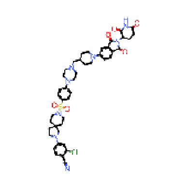 N#Cc1ccc(N2CCC3(CCN(S(=O)(=O)c4ccc(N5CCN(CC6CCN(c7ccc8c(c7)C(=O)N(C7CCC(=O)NC7=O)C8=O)CC6)CC5)cc4)CC3)C2)cc1Cl